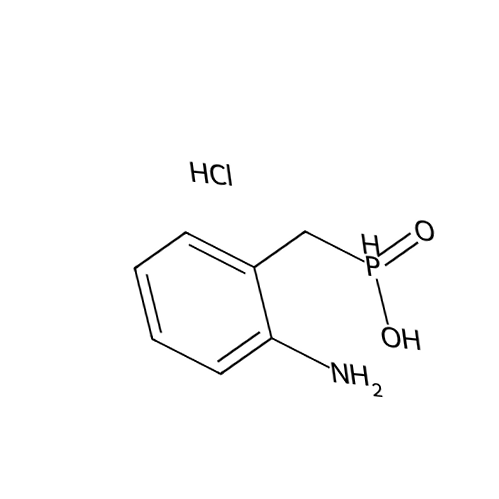 Cl.Nc1ccccc1C[PH](=O)O